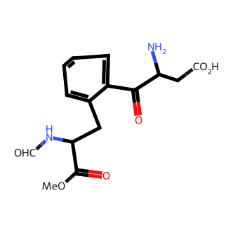 COC(=O)C(Cc1ccccc1C(=O)C(N)CC(=O)O)NC=O